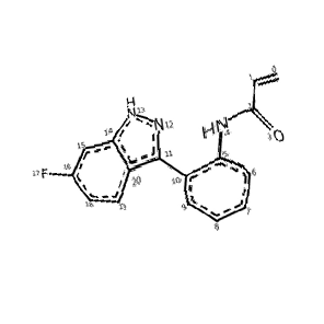 C=CC(=O)Nc1ccccc1-c1n[nH]c2cc(F)ccc12